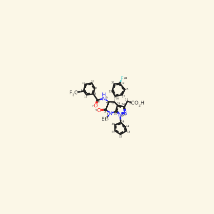 CCN1C(=O)[C@@H](NC(=O)c2cccc(C(F)(F)F)c2)[C@H](c2ccc(F)cc2)c2c(CC(=O)O)nn(-c3ccccc3)c21